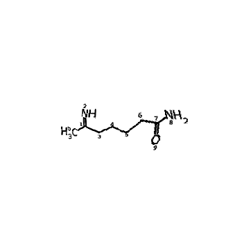 CC(=N)CCCCC(N)=O